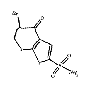 NS(=O)(=O)c1cc2c(s1)SCC(Br)C2=O